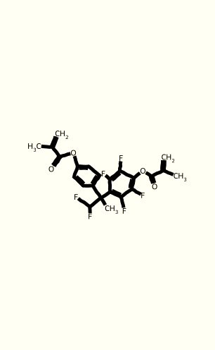 C=C(C)C(=O)Oc1ccc(C(C)(c2c(F)c(F)c(OC(=O)C(=C)C)c(F)c2F)C(F)F)cc1